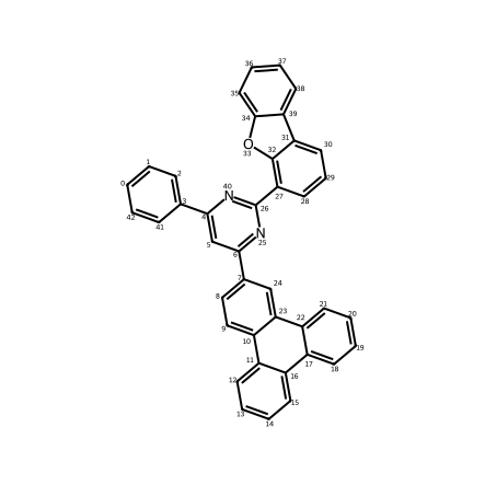 c1ccc(-c2cc(-c3ccc4c5ccccc5c5ccccc5c4c3)nc(-c3cccc4c3oc3ccccc34)n2)cc1